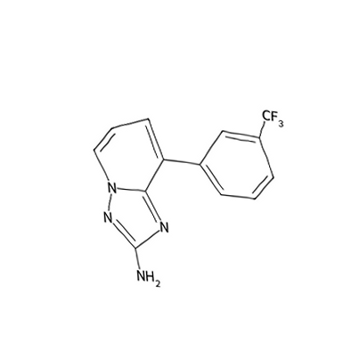 Nc1nc2c(-c3cccc(C(F)(F)F)c3)cccn2n1